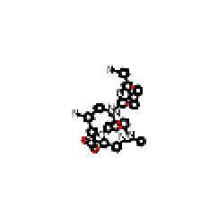 N#Cc1cccc(-c2ccc3c(c2)Oc2cc(-c4nc(-c5cccc(-c6cc(C#N)cc(-c7ccc8c(c7)Oc7cc(-c9cccc(-c%10cc(-c%11ccccc%11)nc(-c%11ccccc%11)n%10)c9)ccc7C87c8ccccc8-c8ccccc87)c6)c5)cc(-c5cccc6ccccc56)n4)ccc2C32c3ccccc3-c3ccccc32)c1